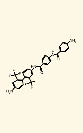 Nc1ccc(C(=O)Nc2ccc(C(=O)Nc3ccc(-c4ccc(N)cc4C(F)(F)F)c(C(F)(F)F)c3)cc2)cc1